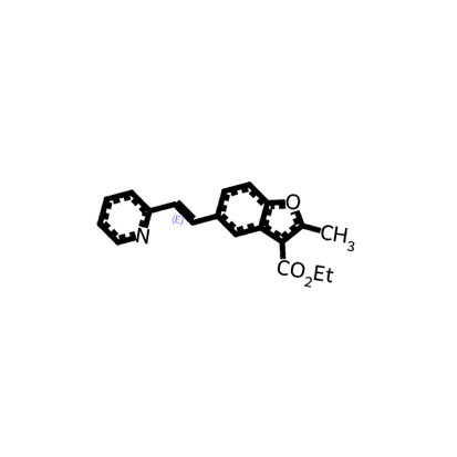 CCOC(=O)c1c(C)oc2ccc(/C=C/c3ccccn3)cc12